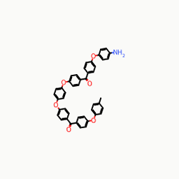 Cc1ccc(Oc2ccc(C(=O)c3ccc(Oc4ccc(Oc5ccc(C(=O)c6ccc(Oc7ccc(N)cc7)cc6)cc5)cc4)cc3)cc2)cc1